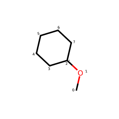 CO[C]1CCCCC1